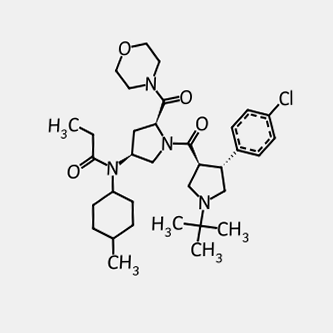 CCC(=O)N(C1CCC(C)CC1)[C@H]1C[C@@H](C(=O)N2CCOCC2)N(C(=O)[C@@H]2CN(C(C)(C)C)C[C@H]2c2ccc(Cl)cc2)C1